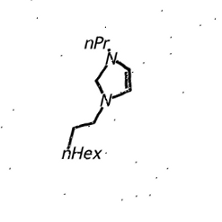 CCCCCCCCN1C=CN(CCC)C1